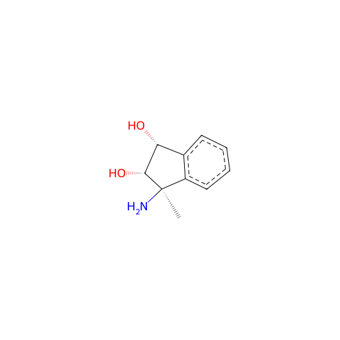 C[C@@]1(N)c2ccccc2[C@@H](O)[C@H]1O